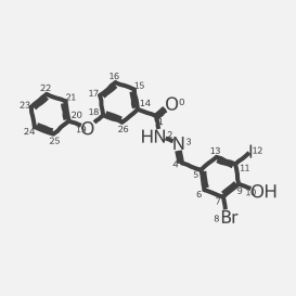 O=C(NN=Cc1cc(Br)c(O)c(I)c1)c1cccc(Oc2ccccc2)c1